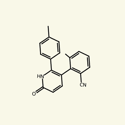 Cc1ccc(-c2[nH]c(=O)ccc2-c2c(C)cccc2C#N)cc1